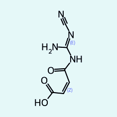 N#C/N=C(\N)NC(=O)/C=C\C(=O)O